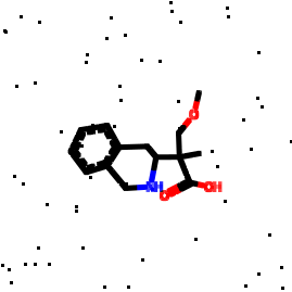 COCC(C)(C(=O)O)C1Cc2ccccc2CN1